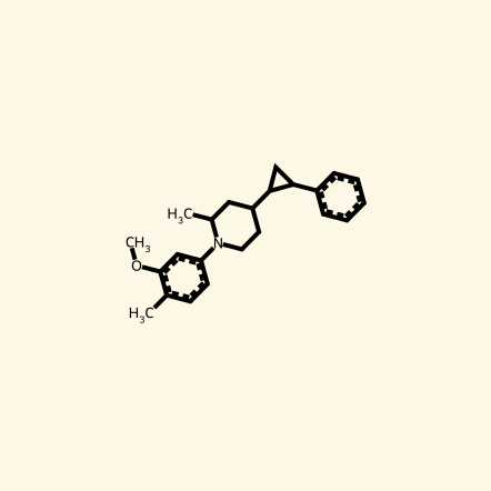 COc1cc(N2CCC(C3CC3c3ccccc3)CC2C)ccc1C